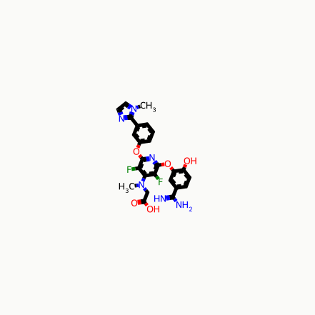 CN(CC(=O)O)c1c(F)c(Oc2cccc(-c3nccn3C)c2)nc(Oc2cc(C(=N)N)ccc2O)c1F